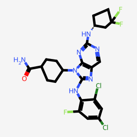 NC(=O)C1CCC(n2c(Nc3c(F)cc(Cl)cc3Cl)nc3cnc(N[C@@H]4CCC(F)(F)C4)nc32)CC1